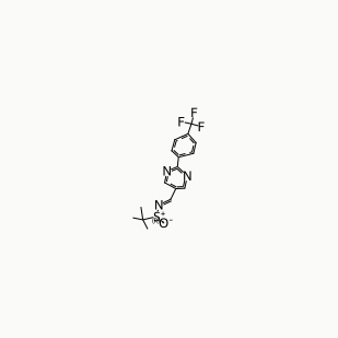 CC(C)(C)[S@+]([O-])N=Cc1cnc(-c2ccc(C(F)(F)F)cc2)nc1